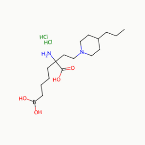 CCCC1CCN(CCC(N)(CCCCB(O)O)C(=O)O)CC1.Cl.Cl